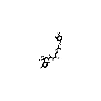 C=C(CCNC(=O)COc1ccc(Cl)c(F)c1)NC(=O)C1CC(O)(CC)c2cc(Cl)ccc2O1